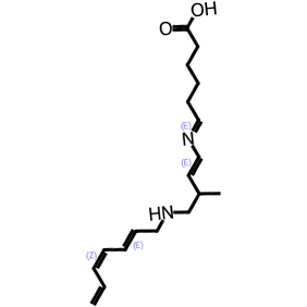 C=C/C=C\C=C\CNCC(C)/C=C/N=C/CCCCC(=O)O